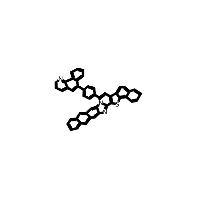 c1ccc2cc3cc4c(cc3cc2c1)nc1c2sc3c5ccccc5ccc3c2cc(-c2ccc(-c3cc5cccnc5c5ccccc35)cc2)n41